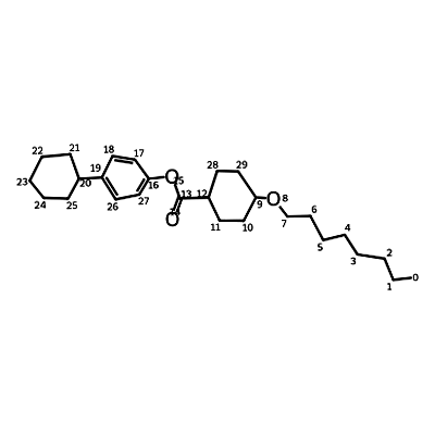 CCCCCCCCOC1CCC(C(=O)Oc2ccc(C3CCCCC3)cc2)CC1